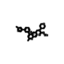 CC1=NC2C=CC(CN(C(=O)OC(C)(C)C)C3CCOCC3)=C[C@@H]2C(c2cccc(-c3cnn(C)c3)c2)=C1